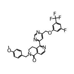 COc1ccc(CN2CCc3c(ccnc3-c3cc(COc4cc(F)cc(C(F)(F)F)c4)ncn3)C2=O)cc1